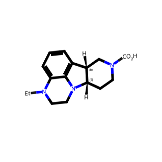 CCN1CCN2c3c(cccc31)[C@@H]1CN(C(=O)O)CC[C@@H]12